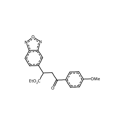 CCOC(=O)C(CC(=O)c1ccc(OC)cc1)c1ccc2nonc2c1